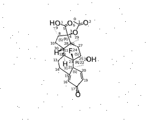 CC(=O)O[C@]1(C(=O)O)[C@@H](C)C[C@H]2[C@@H]3CCC4=CC(=O)C=C[C@]4(C)[C@@]3(F)[C@@H](O)C[C@@]21C